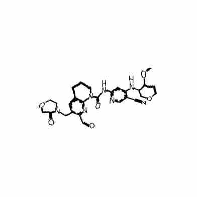 COC1CCOCC1Nc1cc(NC(=O)N2CCCc3cc(CN4CCOCC4=O)c(C=O)nc32)ncc1C#N